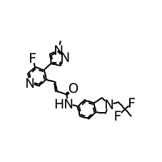 Cn1cc(-c2c(F)cncc2/C=C/C(=O)Nc2ccc3c(c2)CN(CC(C)(F)F)C3)cn1